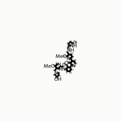 COc1cnc(C(=O)Nc2cccc(-c3nccc(-c4ccc(CNC[C@H]5CCC(=O)N5)c(OC)n4)c3Cl)c2C)cc1CN1CC[C@H](O)C1